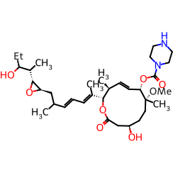 CCC(O)C(C)[C@H]1O[C@@H]1CC(C)/C=C/C=C(\C)[C@H]1OC(=O)C[C@H](O)CC[C@@](C)(OC)[C@@H](OC(=O)N2CCNCC2)/C=C/[C@@H]1C